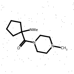 CNC1(C(=O)N2CCN(C)CC2)CCCC1